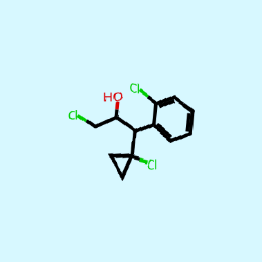 OC(CCl)C(c1ccccc1Cl)C1(Cl)CC1